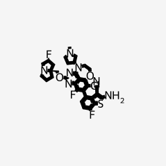 CN1CCC(N2CCOc3c(Cl)c(-c4ccc(F)c5sc(N)c(C#N)c45)c(F)c4nc(OC[C@@]56CCCN5C[C@H](F)C6)nc2c34)C1